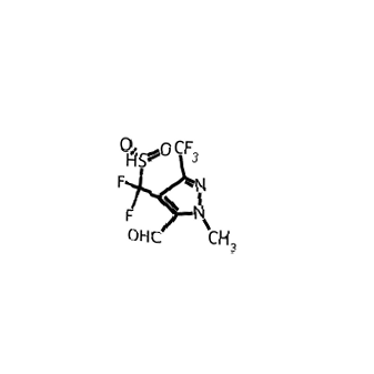 Cn1nc(C(F)(F)F)c(C(F)(F)[SH](=O)=O)c1C=O